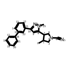 CC1CN(C#N)CC1c1cc(-c2cccc(-c3ccccc3)c2)nn1C